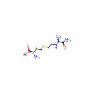 N=C(NCCSCC[C@H](N)C(=O)O)C(N)=O